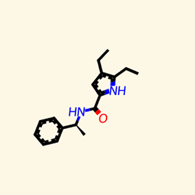 CCc1cc(C(=O)N[C@@H](C)c2ccccc2)[nH]c1CC